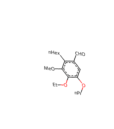 CCCCCCc1c(C=O)cc(OCCC)c(OCC)c1OC